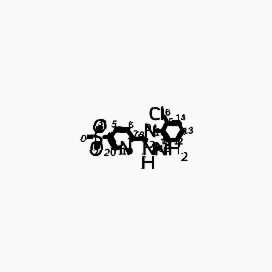 CS(=O)(=O)c1ccc(/C(=N/c2ccccc2Cl)NN)nc1